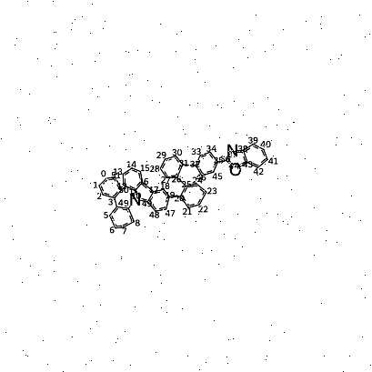 c1ccc(-c2ccccc2-n2c3ccccc3c3cc(-c4ccccc4-c4ccccc4-c4ccc(-c5nc6ccccc6o5)cc4)ccc32)cc1